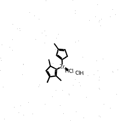 Cl.Cl.[CH2]=[Zr]([C]1=CC(C)=CC1)[C]1=C(C)C(C)=CC1C